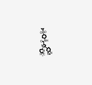 Cc1cccc(-n2nc(C(=O)Nc3ccc(S(=O)(=O)C4CC4)cc3)cc2-c2ccc3ncnn3c2)n1